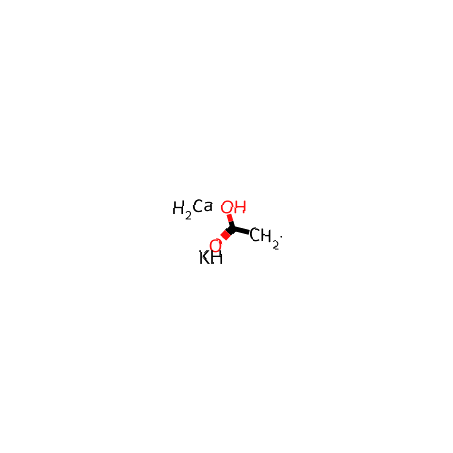 [CH2]C(=O)O.[CaH2].[KH]